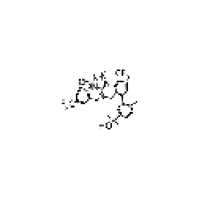 Cc1ccc(C(C)(C)O)cc1-c1ccc(C(F)(F)F)cc1CN(Cc1cc(C(F)(F)F)cc(C(F)(F)F)c1)c1nnn(C)n1